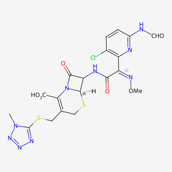 CO/N=C(\C(=O)NC1C(=O)N2C(C(=O)O)=C(CSc3nnnn3C)CS[C@H]12)c1nc(NC=O)ccc1Cl